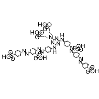 O=S(=O)(O)CCCN(CCCS(=O)(=O)O)c1nc(Nc2ccc(N=Nc3ccc(N=Nc4ccc(S(=O)(=O)O)cc4)cc3S(=O)(=O)O)cc2)nc(Nc2ccc(N=Nc3ccc(N=Nc4ccc(S(=O)(=O)O)cc4)cc3S(=O)(=O)O)cc2)n1